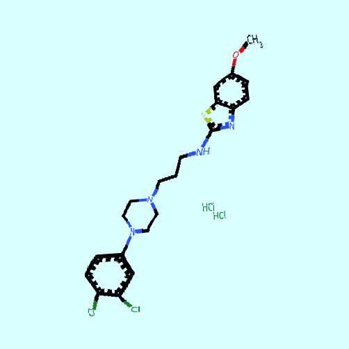 COc1ccc2nc(NCCCN3CCN(c4ccc(Cl)c(Cl)c4)CC3)sc2c1.Cl.Cl